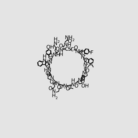 CCCC[C@H]1C(=O)N[C@@H](CCC(N)=O)C(=O)N2CCC[C@@H]2C(=O)N[C@@H](Cc2c[nH]c3ccccc23)C(=O)N[C@@H](Cc2ccc(O)cc2)C(=O)N[C@@H](CCCN)C(=O)N[C@H](C(=O)NCC(N)=O)CSCC(=O)N[C@@H](Cc2ccc(F)cc2)C(=O)N(C)[C@@H](Cc2ccccc2)C(=O)N(C)[C@@H](CCCC)C(=O)N2CCC[C@@H]2C(=O)N[C@@H](CC(=O)O)C(=O)N[C@@H](C(C)C)C(=O)N1C